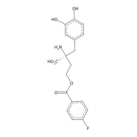 N[C@](CCOC(=O)c1ccc(F)cc1)(Cc1ccc(O)c(O)c1)C(=O)O